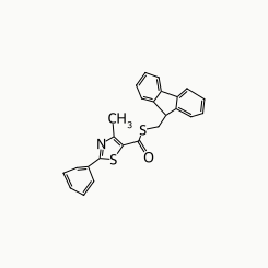 Cc1nc(-c2ccccc2)sc1C(=O)SCC1c2ccccc2-c2ccccc21